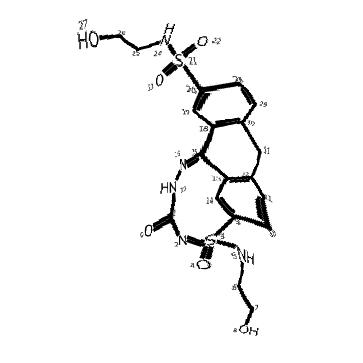 O=C1N=S(=O)(NCCO)c2ccc3c(c2)/C(=N\N1)c1cc(S(=O)(=O)NCCO)ccc1C3